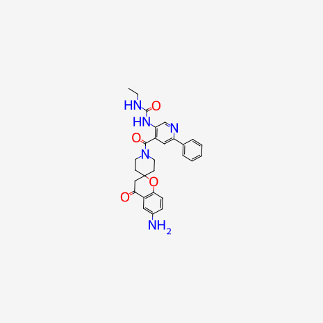 CCNC(=O)Nc1cnc(-c2ccccc2)cc1C(=O)N1CCC2(CC1)CC(=O)c1cc(N)ccc1O2